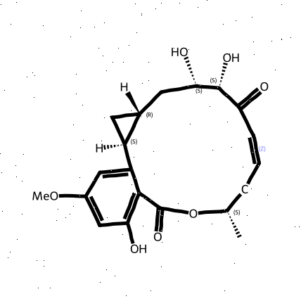 COc1cc(O)c2c(c1)[C@H]1C[C@@H]1C[C@H](O)[C@H](O)C(=O)/C=C\C[C@H](C)OC2=O